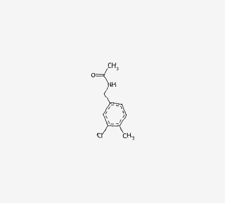 CC(=O)NCc1ccc(C)c(Cl)c1